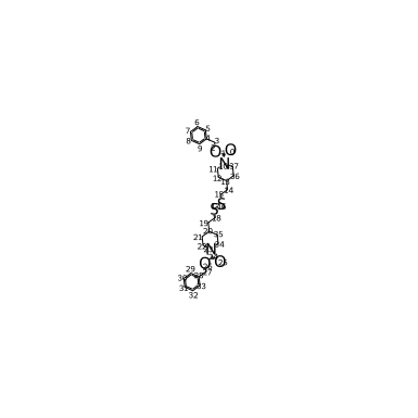 O=C(OCc1ccccc1)N1CCC(CCSSCCC2CCN(C(=O)OCc3ccccc3)CC2)CC1